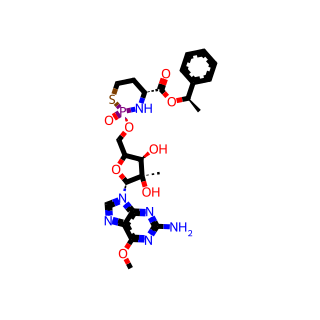 COc1nc(N)nc2c1ncn2[C@@H]1OC(CO[P@@]2(=O)N[C@@H](C(=O)O[C@H](C)c3ccccc3)CCS2)[C@@H](O)[C@@]1(C)O